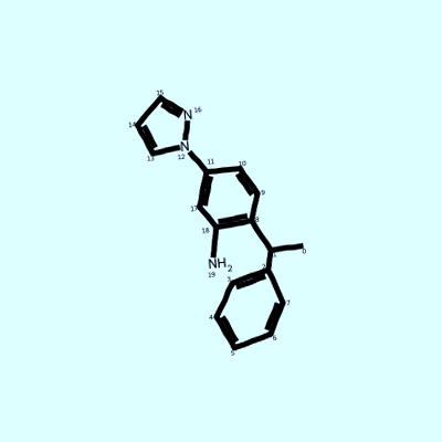 CC(c1ccccc1)c1ccc(-n2cccn2)cc1N